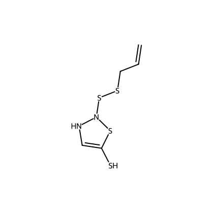 C=CCSSN1NC=C(S)S1